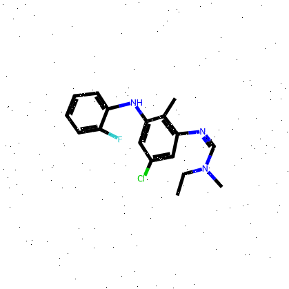 CCN(C)/C=N\c1cc(Cl)cc(Nc2ccccc2F)c1C